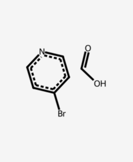 Brc1ccncc1.O=CO